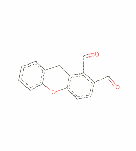 O=Cc1ccc2c(c1C=O)Cc1ccccc1O2